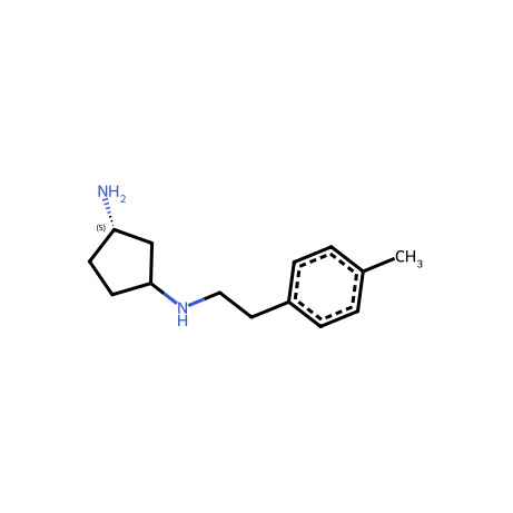 Cc1ccc(CCNC2CC[C@H](N)C2)cc1